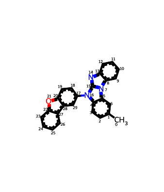 Cc1ccc2c(c1)n1c3ccccc3nc1n2-c1ccc2oc3ccccc3c2c1